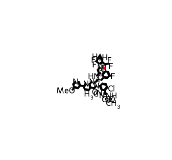 COc1cncc(-c2ccc3c(=O)n(-c4ccc(Cl)c5c(NS(C)(=O)=O)nn(C)c45)c([C@H](Cc4cc(F)cc(F)c4)NC(=O)Cn4nc(C(F)F)c5c4C(F)(F)[C@@H]4C[C@H]54)nc3n2)c1